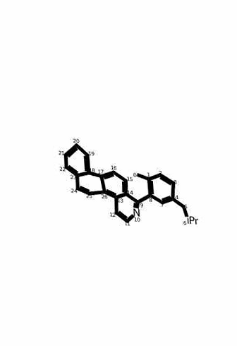 Cc1ccc(CC(C)C)cc1-c1nccc2c1ccc1c3ccccc3ccc21